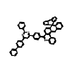 c1ccc(-c2ccc(-c3cc(-c4ccc(-c5nc6ccccc6c6c7c(ccc56)C5(c6ccccc6C7)c6ccccc6-c6ccccc65)cc4)nc(-c4ccccc4)n3)cc2)cc1